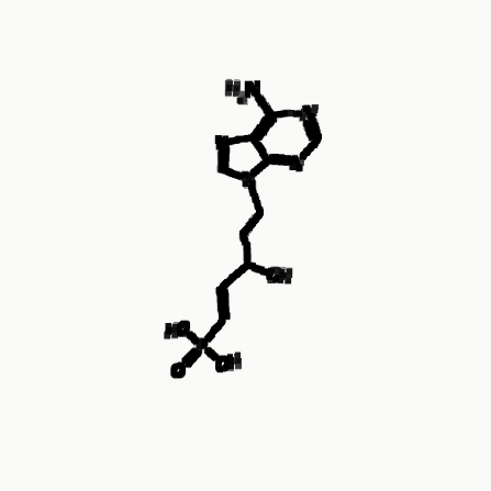 Nc1ncnc2c1ncn2CCC(O)C=CP(=O)(O)O